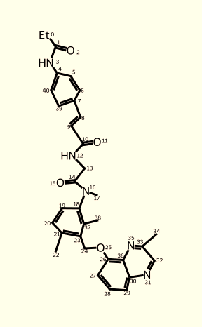 CCC(=O)Nc1ccc(C=CC(=O)NCC(=O)N(C)c2ccc(C)c(COc3cccc4ncc(C)nc34)c2C)cc1